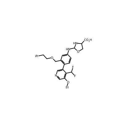 CCOc1cncc(-c2ccc(NC3NC(C(=O)O)CO3)cc2COCCC(C)C)c1C(F)F